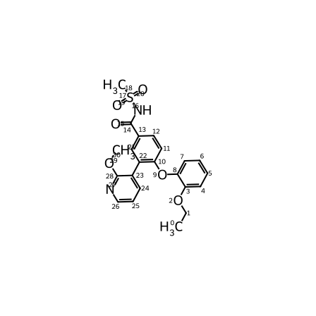 CCOc1ccccc1Oc1ccc(C(=O)NS(C)(=O)=O)cc1-c1cccnc1OC